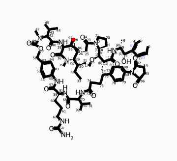 C/C=C\C(=C/C)[C@H](O)[C@@H](C)NC(=O)[C@H](C)[C@@H](OC)[C@@H]1CCCN1C(=O)C[C@@H](OC)[C@H]([C@@H](C)CC)N(C)C(=O)C(NC(=O)C(C(C)C)N(C)C(=O)OCc1ccc(NC(=O)[C@H](CCCNC(N)=O)NC(=O)C(NC(=O)CCCc2ccc(N3C(=O)CCC3=O)cc2)C(C)C)cc1)C(C)C